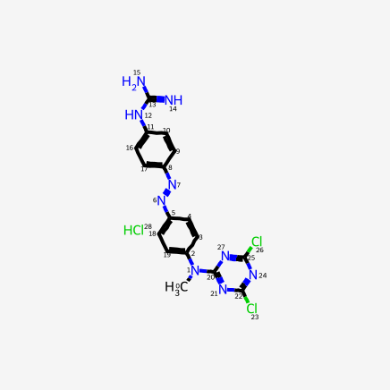 CN(c1ccc(N=Nc2ccc(NC(=N)N)cc2)cc1)c1nc(Cl)nc(Cl)n1.Cl